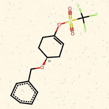 O=S(=O)(OC1=CC[C@@H](OCc2ccccc2)CC1)C(F)(F)F